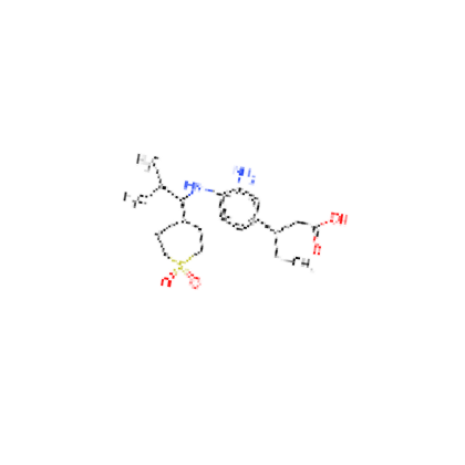 CCC(CC(=O)O)c1ccc(NC(C(C)C)C2CCS(=O)(=O)CC2)c(N)c1